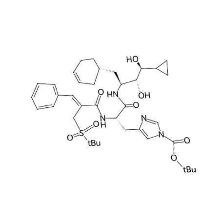 CC(C)(C)OC(=O)n1cnc(C[C@H](NC(=O)C(=Cc2ccccc2)CS(=O)(=O)C(C)(C)C)C(=O)N[C@@H](C[C@@H]2CC=CCC2)[C@@H](O)[C@@H](O)C2CC2)c1